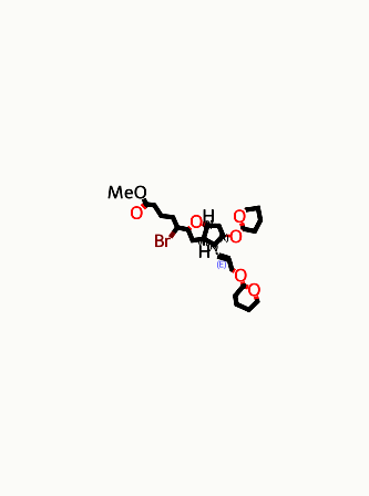 COC(=O)CCCC(Br)C1C[C@@H]2[C@@H](/C=C/COC3CCCCO3)[C@H](OC3CCCCO3)C[C@H]2O1